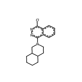 Clc1nnc(N2CCC3CCCCC3C2)c2ccccc12